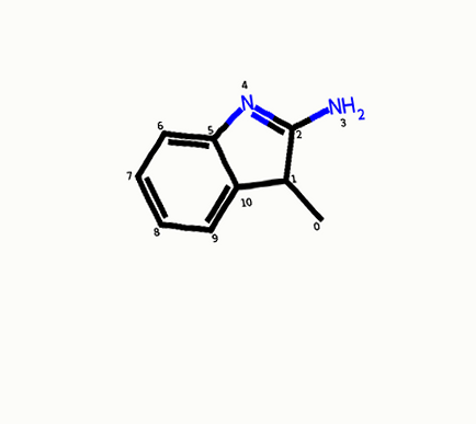 CC1C(N)=Nc2ccccc21